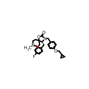 CN1CCC2(CC1)OC(=O)N(Cc1ccc(OCC3CC3)cc1)[C@H]2Cc1ccc(F)cc1